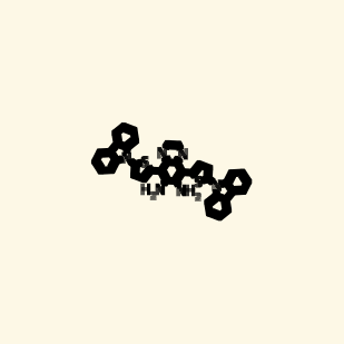 Nc1c(N)c(-c2ccc(-n3c4ccccc4c4ccccc43)s2)c2nccnc2c1-c1ccc(-n2c3ccccc3c3ccccc32)s1